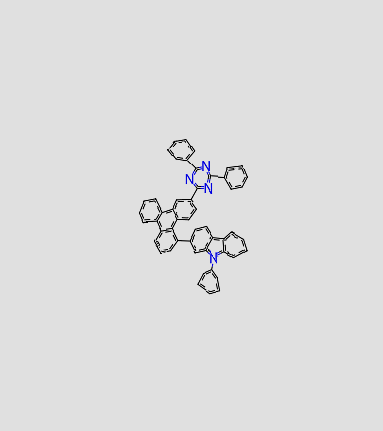 c1ccc(-c2nc(-c3ccccc3)nc(-c3ccc4c(c3)c3ccccc3c3cccc(-c5ccc6c7ccccc7n(-c7ccccc7)c6c5)c34)n2)cc1